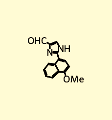 COc1ccc(-c2nc(C=O)c[nH]2)c2ccccc12